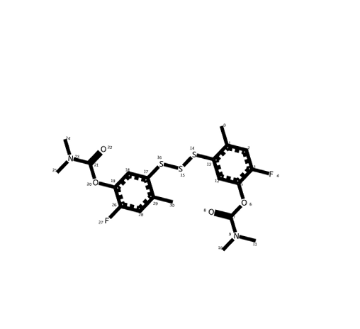 Cc1cc(F)c(OC(=O)N(C)C)cc1SSSc1cc(OC(=O)N(C)C)c(F)cc1C